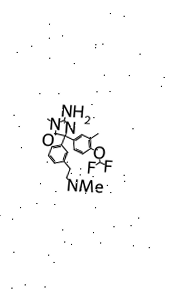 CNCCc1cccc(C2(c3ccc(OC(F)F)c(C)c3)N=C(N)N(C)C2=O)c1